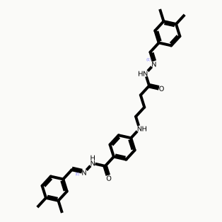 Cc1ccc(/C=N/NC(=O)CCCNc2ccc(C(=O)N/N=C/c3ccc(C)c(C)c3)cc2)cc1C